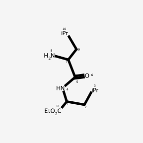 CCOC(=O)C(CC(C)C)NC(=O)C(N)CC(C)C